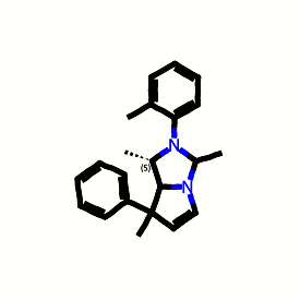 Cc1ccccc1N1C(C)N2C=CC(C)(c3ccccc3)C2[C@@H]1C